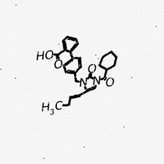 CCC=Cc1cn(C(=O)C2CCCCC2)c(=O)n1Cc1ccc(-c2ccccc2C(=O)O)cc1